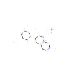 CCc1c(OC)cc(OC)c(Cl)c1-c1cc2cnc(N)nc2c(N2CC(F)(F)C2)n1